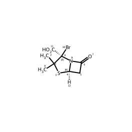 CC1(C)S[C@@H]2CC(=O)N2[C@@]1(Br)C(=O)O